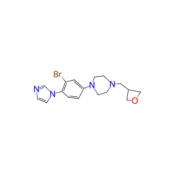 Brc1cc(N2CCN(CC3COC3)CC2)ccc1-n1ccnc1